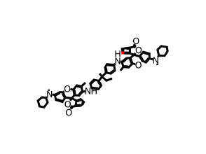 CCC(C)(c1ccc(Nc2cc3c(cc2C)Oc2cc(N(C)C4CCCCC4)ccc2C32OC(=O)c3ccccc32)cc1)c1ccc(Nc2cc3c(cc2C)Oc2cc(N(C)C4CCCCC4)ccc2C32OC(=O)c3ccccc32)cc1